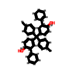 Cc1ccc(C(c2ccc(C)cc2)(c2ccc(O)c(-c3ccccc3)c2)c2ccc(O)c(-c3ccccc3)c2)cc1